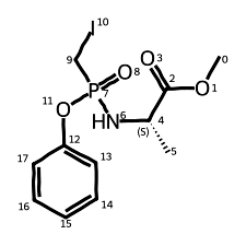 COC(=O)[C@H](C)NP(=O)(CI)Oc1ccccc1